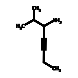 CCC#CC(N)C(C)C